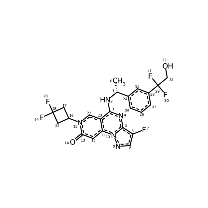 C[C@@H](Nc1nc2c(F)cnn2c2cc(=O)n(C3CC(F)(F)C3)cc12)c1cccc(C(F)(F)CO)c1